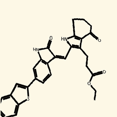 CCOC(=O)CCc1c(C=C2C(=O)Nc3cc(-c4cc5ccccc5s4)ccc32)[nH]c2c1C(=O)CCC2